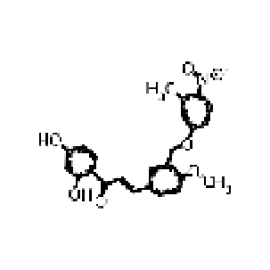 COc1ccc(/C=C/C(=O)c2ccc(O)cc2O)cc1COc1ccc([N+](=O)[O-])c(C)c1